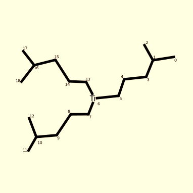 CC(C)CC[CH2][Ti]([CH2]CCC(C)C)[CH2]CCC(C)C